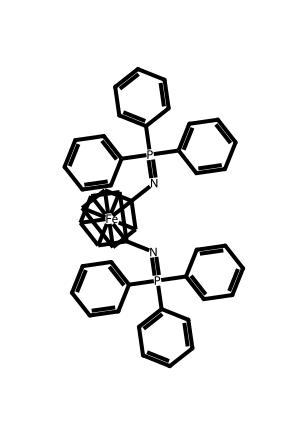 c1ccc(P(=N[C]23[CH]4[CH]5[CH]6[CH]2[Fe]56432789[CH]3[CH]2[CH]7[C]8(N=P(c2ccccc2)(c2ccccc2)c2ccccc2)[CH]39)(c2ccccc2)c2ccccc2)cc1